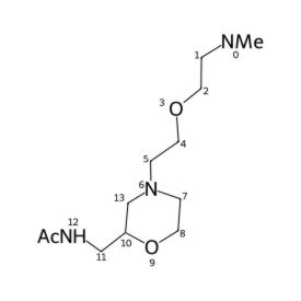 CNCCOCCN1CCOC(CNC(C)=O)C1